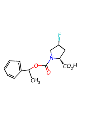 CC(OC(=O)N1C[C@@H](F)C[C@H]1C(=O)O)c1ccccc1